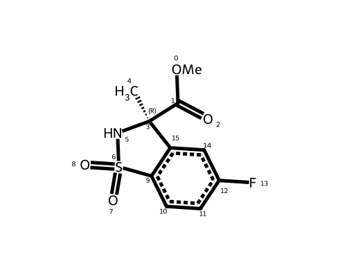 COC(=O)[C@]1(C)NS(=O)(=O)c2ccc(F)cc21